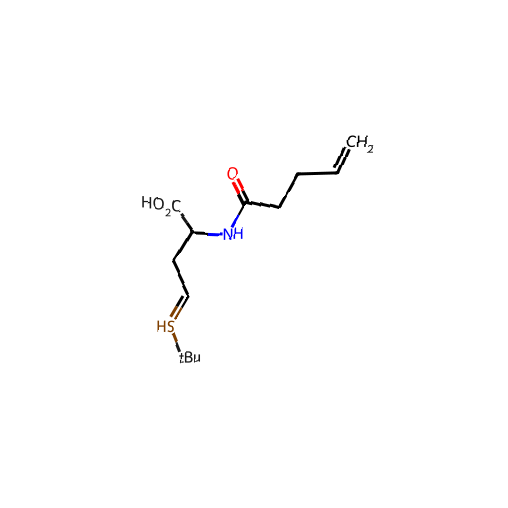 C=CCCC(=O)NC(CC=[SH]C(C)(C)C)C(=O)O